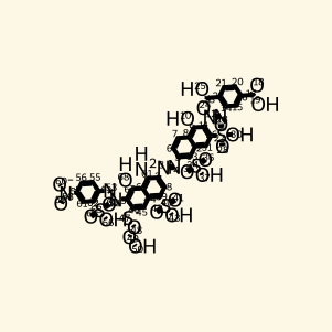 Nc1c(N=Nc2ccc3c(O)c(N=Nc4cc(C(=O)O)ccc4C(=O)O)c(S(=O)(=O)O)cc3c2S(=O)(=O)O)cc(S(=O)(=O)O)c2cc(SOOO)c(N=Nc3ccc([N+](=O)[O-])cc3S(=O)(=O)O)c(O)c12